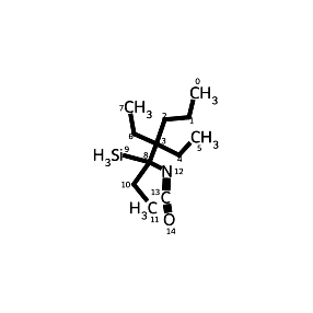 CCCC(CC)(CC)C([SiH3])(CC)N=C=O